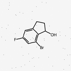 OC1CCc2cc(F)cc(Br)c21